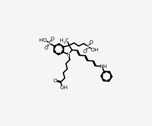 CC1(CCCS(=O)(=O)O)c2cc(S(=O)(=O)O)ccc2N(CCCCCC(=O)O)C1/C=C/C=C/C=C/Nc1ccccc1